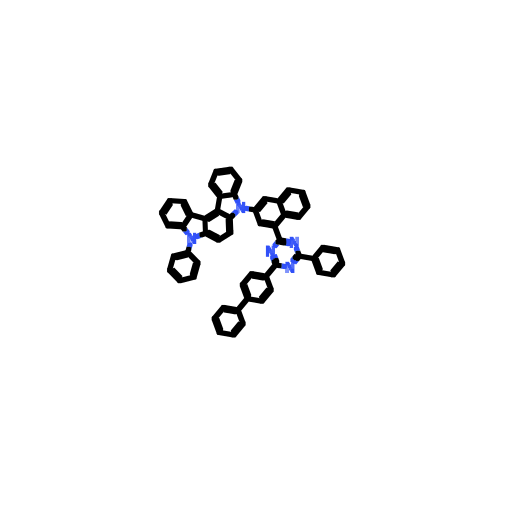 c1ccc(-c2ccc(-c3nc(-c4ccccc4)nc(-c4cc(-n5c6ccccc6c6c7c8ccccc8n(-c8ccccc8)c7ccc65)cc5ccccc45)n3)cc2)cc1